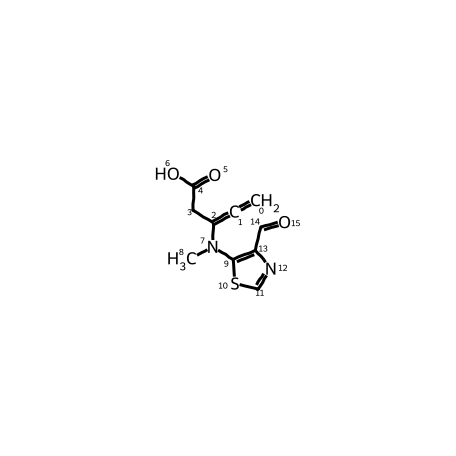 C=C=C(CC(=O)O)N(C)c1scnc1C=O